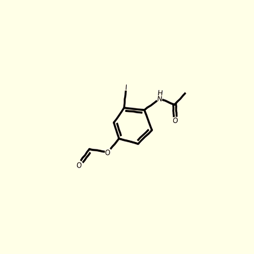 CC(=O)Nc1ccc(OC=O)cc1I